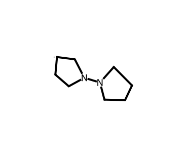 [CH]1CCN(N2CCCC2)C1